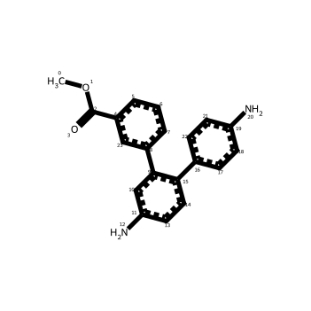 COC(=O)c1cccc(-c2cc(N)ccc2-c2ccc(N)cc2)c1